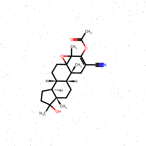 CC(=O)OC1=C(C#N)C[C@]2(C)[C@@H]3CC[C@@]4(C)[C@@H](CCC4(C)O)[C@@H]3CCC23OC13C